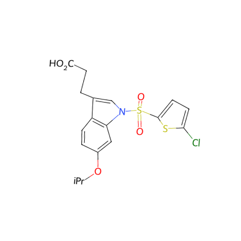 CC(C)Oc1ccc2c(CCC(=O)O)cn(S(=O)(=O)c3ccc(Cl)s3)c2c1